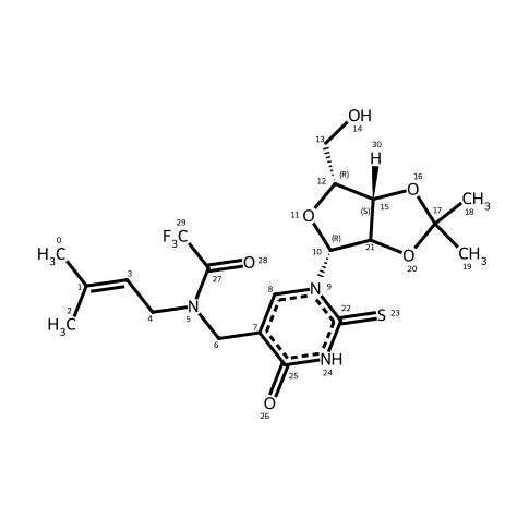 CC(C)=CCN(Cc1cn([C@@H]2O[C@H](CO)[C@@H]3OC(C)(C)OC32)c(=S)[nH]c1=O)C(=O)C(F)(F)F